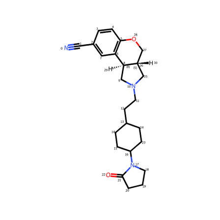 N#Cc1ccc2c(c1)[C@@H]1CN(CCC3CCC(N4CCCC4=O)CC3)C[C@H]1CO2